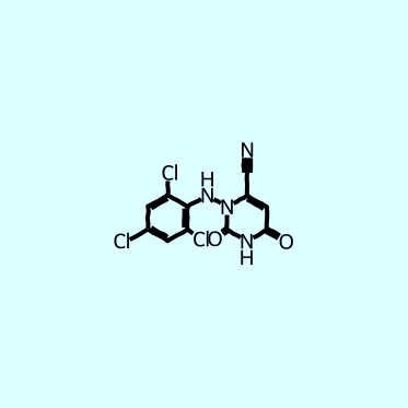 N#Cc1cc(=O)[nH]c(=O)n1Nc1c(Cl)cc(Cl)cc1Cl